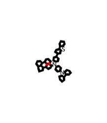 c1ccc(-c2cccc3cccc(-c4ccc(N(c5ccc(-c6ccc7c(c6)sc6ccccc67)cc5)c5ccc(-n6c7ccccc7c7ccccc76)cc5)cc4)c23)cc1